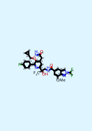 COc1cc(C(=O)NC[C@](O)(c2cc(CC(N)=O)c(OCC3CC3)c(-c3ccc(F)cc3)n2)C(F)(F)F)cc2cn(C(F)F)nc12